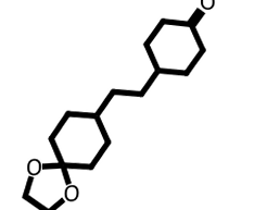 O=C1CCC(CCC2CCC3(CC2)OCCO3)CC1